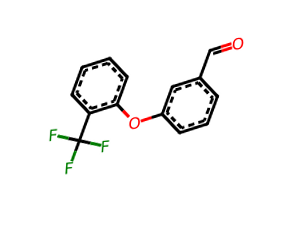 O=Cc1cccc(Oc2ccccc2C(F)(F)F)c1